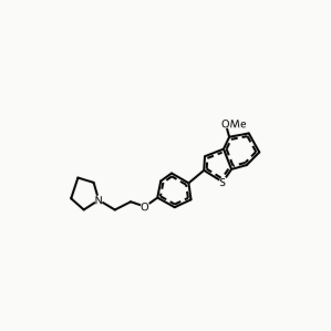 COc1cccc2sc(-c3ccc(OCCN4CCCC4)cc3)cc12